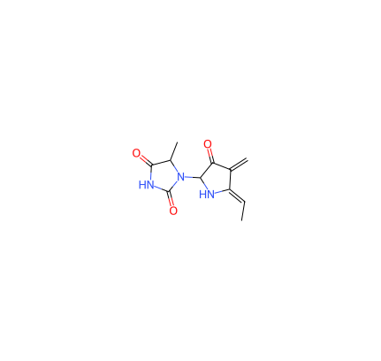 C=C1C(=O)C(N2C(=O)NC(=O)C2C)NC1=CC